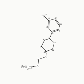 CCOC(=O)CCCN1CCC(c2cccc(Cl)c2)CC1